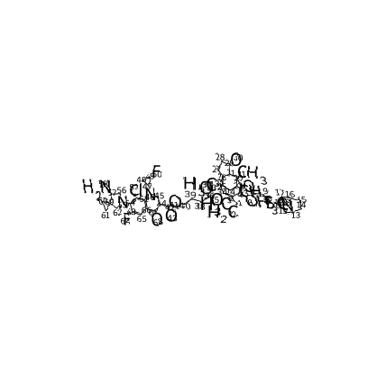 C=C[C@@]1(C)C[C@H](OC(=O)CSC2CC3CCC(C2)N3C)[C@@]2(C)C(C)CCC3(CCC(=O)C32)[C@H](C)C1OC(=O)CCCOC(=O)c1cn(C2C[C@@H]2F)c2c(Cl)c(N3C[C@@H](N)C4(CC4)C3)c(F)cc2c1=O